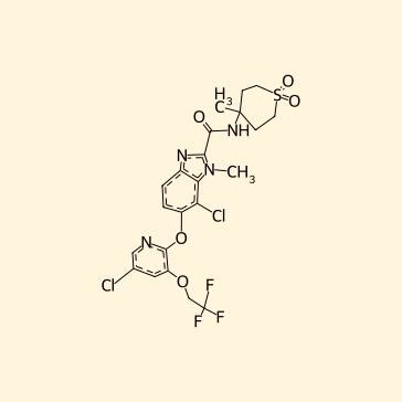 Cn1c(C(=O)NC2(C)CCS(=O)(=O)CC2)nc2ccc(Oc3ncc(Cl)cc3OCC(F)(F)F)c(Cl)c21